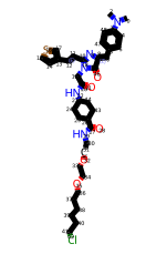 CN(C)c1ccc(/C=C2N=C(/C=C/c3ccsc3)N(CC(=O)NC3CCC(C(=O)NCCOCCOCCCCCCCl)CC3)C\2=O)cc1